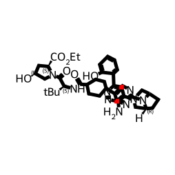 CCOC(=O)[C@@H]1C[C@@H](O)CN1C(=O)[C@@H](NC(=O)C1CCC(c2cnc(N3C4CC[C@@H]3CN(c3cc(-c5ccccc5O)nnc3N)C4)nc2)CC1)C(C)(C)C